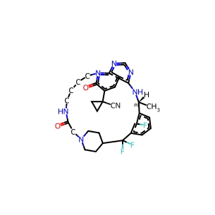 C[C@H]1Nc2ncnc3c2cc(C2(C#N)CC2)c(=O)n3CCCCNC(=O)CN2CCC(CC2)C(F)(F)c2cccc1c2F